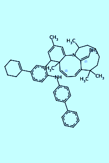 B/C=C1C2=C/C=C\C3(C)C(=CC(C)=CC3c3cc(C4=CCCCC4)ccc3Nc3ccc(-c4ccccc4)cc3)N/1C(C)CCCCC2(C)C